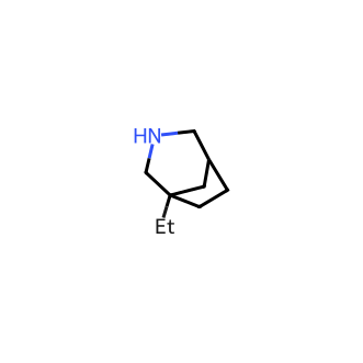 CCC12CCC(CNC1)C2